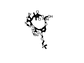 Cc1c(Cl)c2c(Cl)c(C)c1-c1c(Br)sc3ncnc(c13)O[C@@H](C(=O)OC(C)(C)C)Cc1cc(ccc1OCOCC[Si](C)(C)C)OC[C@@H](CO)O2